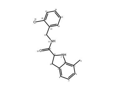 Cc1cccc2c1NC(C(=O)NCc1ccccc1Cl)C2